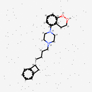 c1ccc2c(c1)C[C@H]2CCCCN1CCN(c2cccc3c2CCOO3)CC1